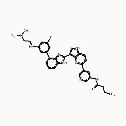 CCCC(=O)Nc1cncc(-c2ccc3[nH]nc(-c4nc5c(-c6cc(F)cc(NCCN(C)C)c6)cccc5[nH]4)c3n2)c1